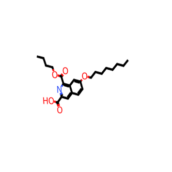 CCCCCCCCOc1ccc2cc(C(=O)O)nc(C(=O)OCCCC)c2c1